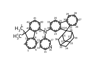 CC1(C)c2ccccc2-c2c(N(c3cccnc3)c3ccc4c(c3)C3(c5ccccc5-4)C4CC5CC(C4)CC3C5)cccc21